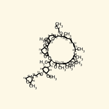 COCCOC1C[C@@H]2CC[C@@H](C)[C@@](O)(O2)C(=O)C(=O)N2CCCCC2C(=O)O[C@H]([C@H](C)C[C@@H]2CC[C@@H](OCCCN3CCO[C@H](C)C3)[C@H](OC)C2)CC(=O)[C@H](C)/C=C(\C)[C@@H](O)[C@@H](OC)C(=O)[C@H](C)C[C@H](C)/C=C/C=C/C=C/1C